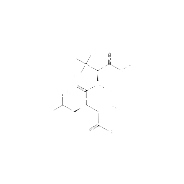 CNC(=O)[C@@H](N(O)C(=O)[C@H](CC(C)C)[C@H](OC)C(N)=O)C(C)(C)C